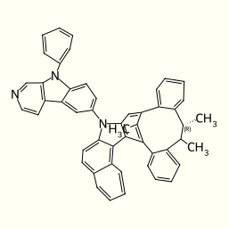 Cc1c2cc3c(c1-c1ccccc1C(C)[C@@H](C)c1ccccc1-2)c1c2ccccc2ccc1n3-c1ccc2c(c1)c1ccncc1n2-c1ccccc1